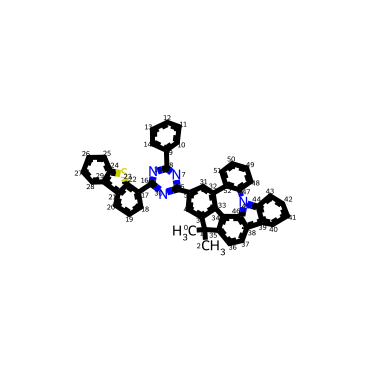 CC1(C)c2cc(-c3nc(-c4ccccc4)nc(-c4cccc5c4sc4ccccc45)n3)cc3c2-c2c1ccc1c4ccccc4n(c21)-c1ccccc1-3